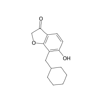 O=C1COc2c1ccc(O)c2CC1CCCCC1